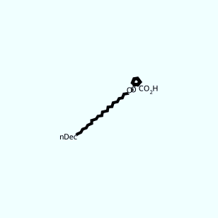 CCCCCCCCCCCCCCCCCCCCCCCCCCCCCCOOc1ccccc1C(=O)O